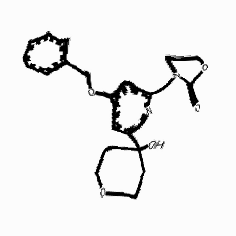 O=C1OCCN1c1cc(OCc2ccccc2)cc(C2(O)CCOCC2)n1